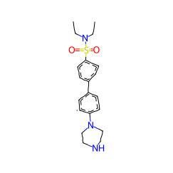 CCN(CC)S(=O)(=O)c1ccc(-c2c[c]c(N3CCNCC3)cc2)cc1